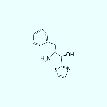 NC(Cc1ccccc1)[C@@H](O)c1nccs1